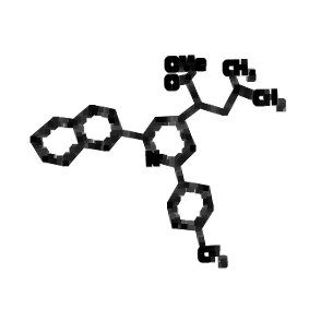 C=C(C)CC(C(=O)OC)c1cc(-c2ccc(C(F)(F)F)cc2)nc(-c2ccc3ccccc3c2)c1